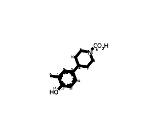 Cc1cc(C2CCN(C(=O)O)CC2)ccc1O